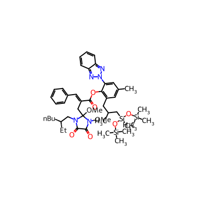 CCCCC(CC)CN1C(=O)C(=O)N(OC)C1(CC(=Cc1ccccc1)C(=O)Oc1c(CC(C)C[Si](C)(O[Si](C)(C)C)O[Si](C)(C)C)cc(C)cc1-n1nc2ccccc2n1)OC